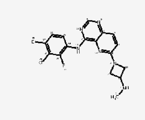 CNC1CN(c2ccc3ncnc(Nc4ccc(Cl)c(Cl)c4F)c3n2)C1